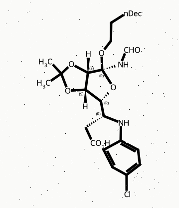 CCCCCCCCCCCCO[C@@]1(NC=O)O[C@H]([C@@H](CC(=O)O)Nc2ccc(Cl)cc2)[C@@H]2OC(C)(C)O[C@@H]21